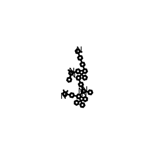 Cc1cc(-c2ccccc2)nc(-c2ccc3c(c2)C(c2ccccc2)(c2cccc(-c4ccc(-c5nc(-c6ccccc6)nc(-c6cc(-c7ccc(-c8cncc(C)c8C)cc7)cc7c6-c6ccccc6C7(c6ccccc6)c6ccccc6)n5)cc4)c2)c2cccc(-c4ccc(-c5ccc(-c6cccnc6C)cc5)cc4)c2-3)n1